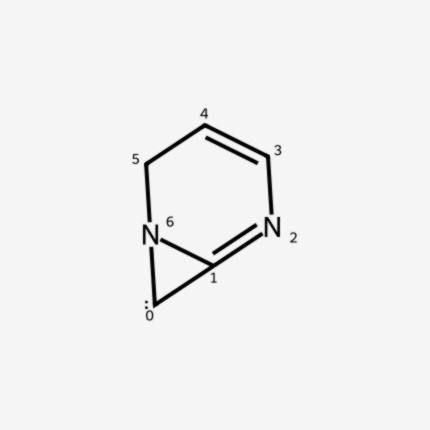 [C]1C2=NC=CCN12